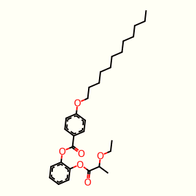 CCCCCCCCCCCCOc1ccc(C(=O)Oc2ccccc2OC(=O)C(C)OCC)cc1